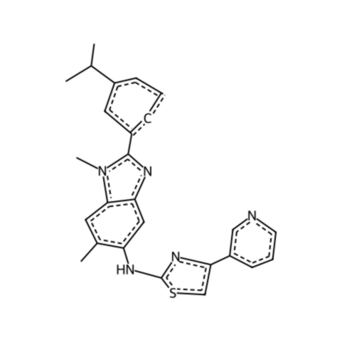 Cc1cc2c(cc1Nc1nc(-c3cccnc3)cs1)nc(-c1cccc(C(C)C)c1)n2C